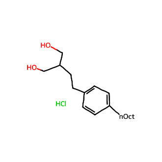 CCCCCCCCc1ccc(CCC(CO)CO)cc1.Cl